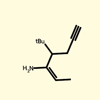 C#CCC(/C(N)=C\C)C(C)(C)C